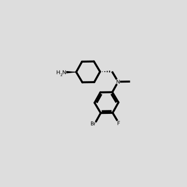 CN(C[C@H]1CC[C@H](N)CC1)c1ccc(Br)c(F)c1